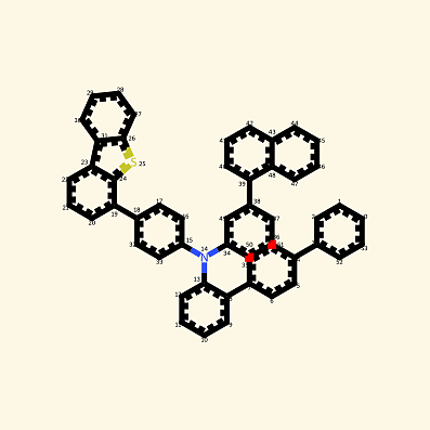 c1ccc(-c2ccc(-c3ccccc3N(c3ccc(-c4cccc5c4sc4ccccc45)cc3)c3cccc(-c4cccc5ccccc45)c3)cc2)cc1